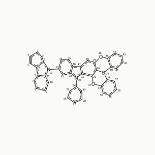 c1ccc2c(c#1)c1ccccc1n2-c1ccc2c3cc4c5c(c3n(-c3ccccc3)c2c1)Oc1ccccc1B5c1ccccc1O4